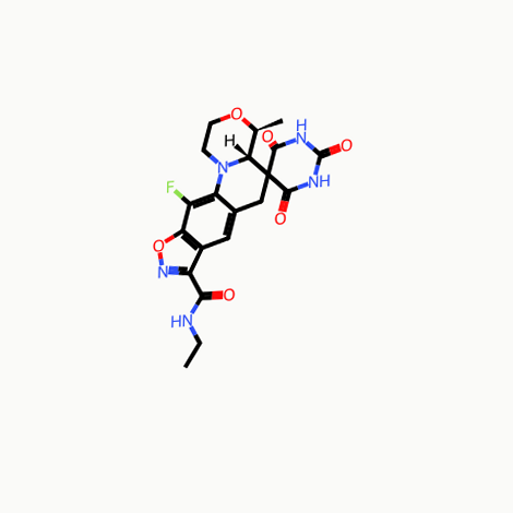 CCNC(=O)c1noc2c(F)c3c(cc12)CC1(C(=O)NC(=O)NC1=O)[C@H]1[C@H](C)OCCN31